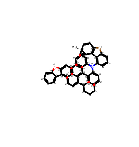 C1=C[C@@H]2C=C2c2c1sc1cccc(N(c3cccc(-c4ccc5c(c4)oc4ccccc45)c3)c3ccccc3-c3cccc4cccc(C5CCCCC5)c34)c21